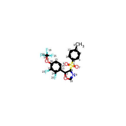 Cc1ccc(S(=O)(=O)C2N=COC2c2ccc(OC(F)(F)F)c(F)c2F)cc1